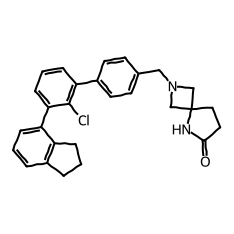 O=C1CCC2(CN(Cc3ccc(-c4cccc(-c5cccc6c5CCC6)c4Cl)cc3)C2)N1